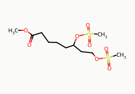 COC(=O)CCCCC(CCOS(C)(=O)=O)OS(C)(=O)=O